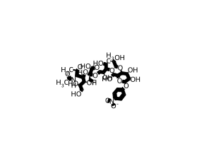 CC(=O)N[C@@H](C(O[C@@](CF)(OC[C@@H](O)C(CO)O[C@@H](O[C@@H]1C(CO)O[C@@H](Oc2ccc([N+](=O)[O-])cc2)C(O)[C@H]1O)[C@H](C)O)C(=O)O)[C@H](O)[C@H](O)CO)[C@@H](C)O